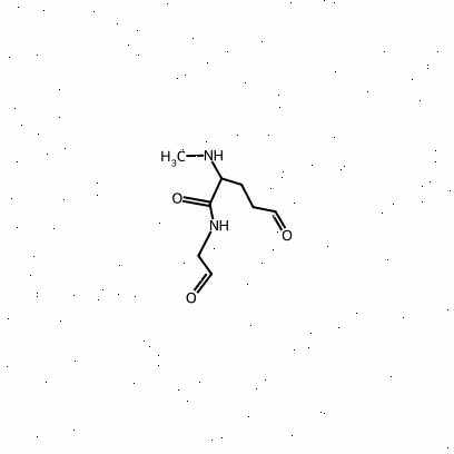 CNC(CCC=O)C(=O)NCC=O